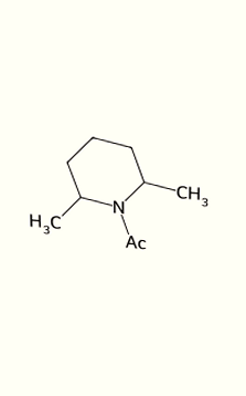 CC(=O)N1C(C)CCCC1C